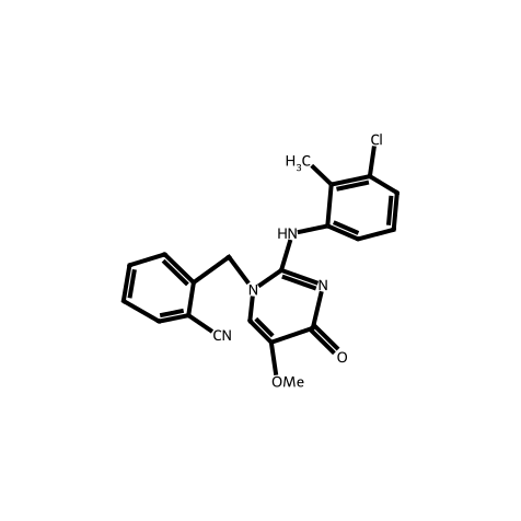 COc1cn(Cc2ccccc2C#N)c(Nc2cccc(Cl)c2C)nc1=O